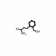 CCC(N)CCc1ccccc1CO